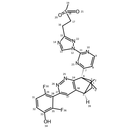 CC1(C)[C@H]2CC[C@]1(c1ccnc(-n3cnc(CCS(C)(=O)=O)n3)n1)c1nnc(-c3c(F)ccc(O)c3F)cc12